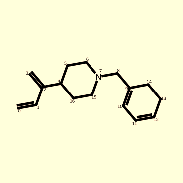 C=CC(=C)C1CCN(CC2=CC=CCC2)CC1